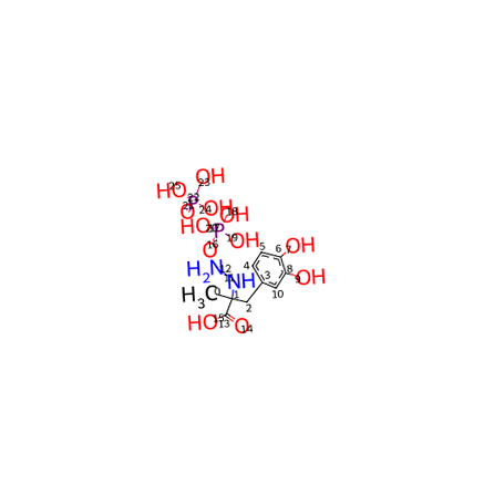 CC(Cc1ccc(O)c(O)c1)(NN)C(=O)O.O=P(O)(O)O.O=P(O)(O)O